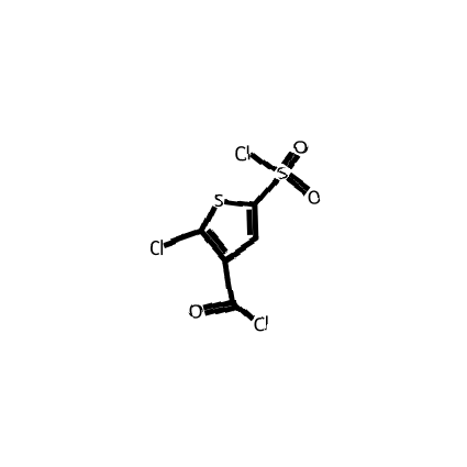 O=C(Cl)c1cc(S(=O)(=O)Cl)sc1Cl